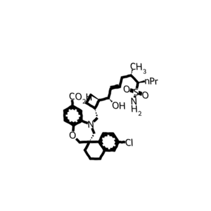 CCC[C@H]([C@@H](C)CC=C[C@H](O)[C@@H]1CC[C@H]1CN1C[C@]2(CCCc3cc(Cl)ccc32)COc2ccc(C(=O)O)cc21)S(N)(=O)=O